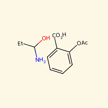 CC(=O)Oc1ccccc1C(=O)O.CCC(N)O